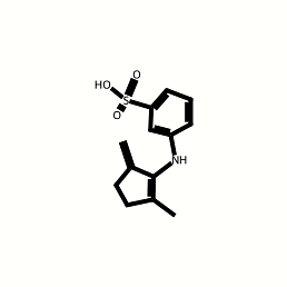 C=C1CCC(C)=C1Nc1cccc(S(=O)(=O)O)c1